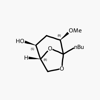 CCCCC12OC[C@@H](O1)[C@@H](O)C[C@H]2OC